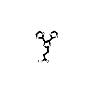 O=C(O)CCc1nc(C2OCCO2)c(C2OCCO2)s1